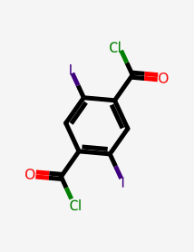 O=C(Cl)c1cc(I)c(C(=O)Cl)cc1I